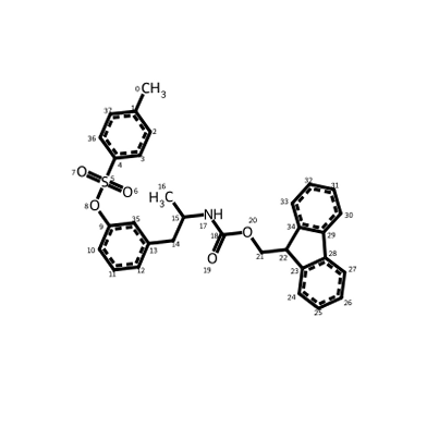 Cc1ccc(S(=O)(=O)Oc2cccc(CC(C)NC(=O)OCC3c4ccccc4-c4ccccc43)c2)cc1